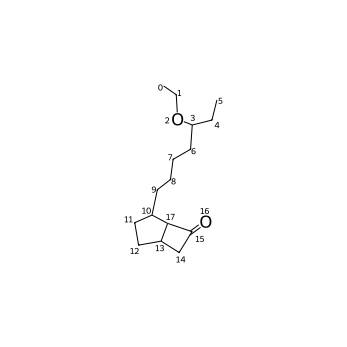 CCOC(CC)CCCCC1CCC2CC(=O)C12